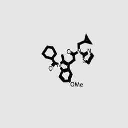 COc1ccc2c(c1)c(CC(=O)N(CC1CC1)c1nccs1)c(C)n2C(=O)C1CCCCC1